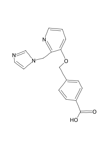 O=C(O)c1ccc(COc2cccnc2Cn2ccnc2)cc1